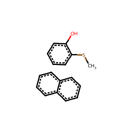 CSc1ccccc1O.c1ccc2ccccc2c1